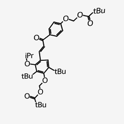 CC(C)Oc1c(C=CC(=O)c2ccc(OCOC(=O)C(C)(C)C)cc2)cc(C(C)(C)C)c(OCOC(=O)C(C)(C)C)c1C(C)(C)C